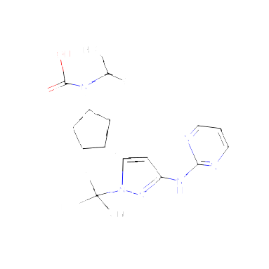 CC(C)N(C(=O)O)[C@H]1CC[C@@H](c2cc(Nc3ncccn3)nn2C(C)(C)C)C1